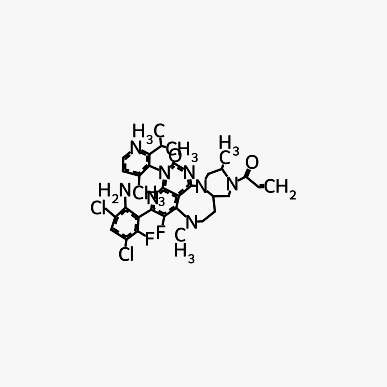 C=CC(=O)N1CC2CCN(C)c3c(F)c(-c4c(N)c(Cl)cc(Cl)c4F)nc4c3c(nc(=O)n4-c3c(C)ccnc3C(C)C)N2CC1C